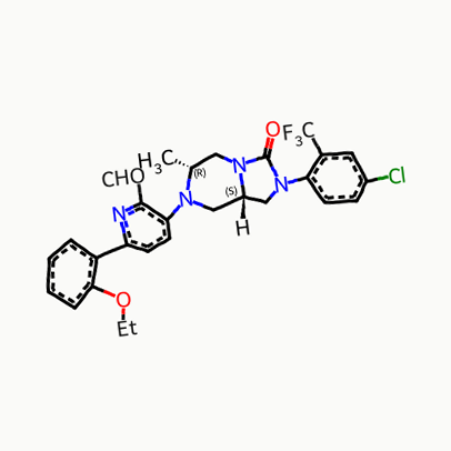 CCOc1ccccc1-c1ccc(N2C[C@H]3CN(c4ccc(Cl)cc4C(F)(F)F)C(=O)N3C[C@H]2C)c(C=O)n1